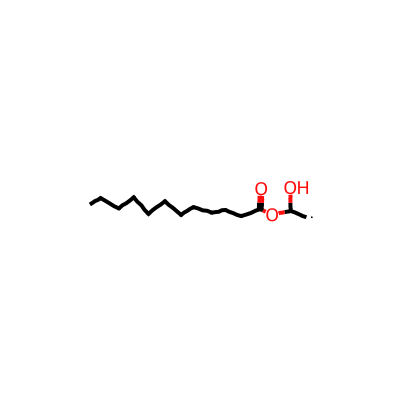 [CH2]C(O)OC(=O)CCCCCCCCCCC